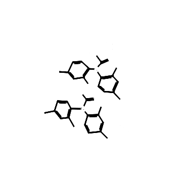 Cc1ccc(N(C(=S)S)c2ccc(C)cc2C)c(C)c1.Cc1ccc(N(C(=S)S)c2ccc(C)cc2C)c(C)c1.[S-2].[S-2].[Zn+2].[Zn+2].[Zn+2]